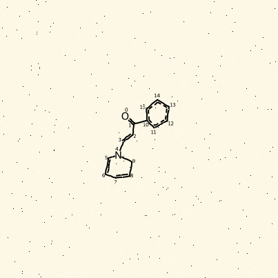 O=C(C=CN1C=CC=CC1)c1ccccc1